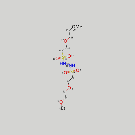 CCOCCOCCS(=O)(=O)NNS(=O)(=O)CCOCCOC